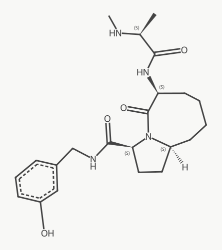 CN[C@@H](C)C(=O)N[C@H]1CCCC[C@H]2CC[C@@H](C(=O)NCc3cccc(O)c3)N2C1=O